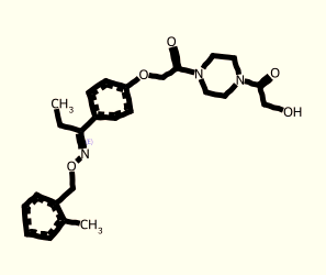 CC/C(=N\OCc1ccccc1C)c1ccc(OCC(=O)N2CCN(C(=O)CO)CC2)cc1